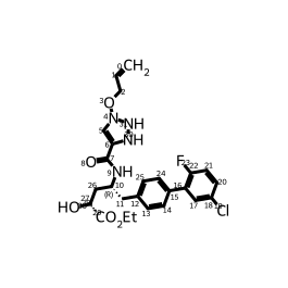 C=CCON1C=C(C(=O)N[C@H](Cc2ccc(-c3cc(Cl)ccc3F)cc2)C[C@@H](O)C(=O)OCC)NN1